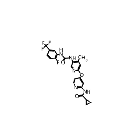 Cc1cc(Oc2ccnc(NC(=O)C3CC3)c2)ncc1NC(=O)Nc1cc(C(F)(F)F)ccc1F